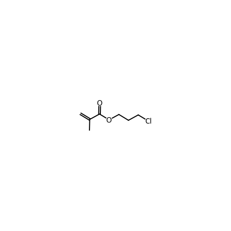 C=C(C)C(=O)OCCCCl